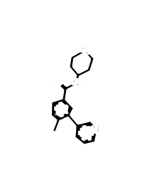 Cc1ccc(C(=O)NC2CCNCC2)cc1-c1cccnc1